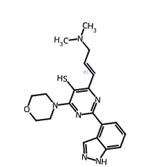 CN(C)C/C=C/c1nc(-c2cccc3[nH]ncc23)nc(N2CCOCC2)c1S